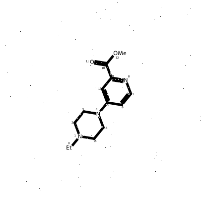 CCN1CCN(c2ccnc(C(=O)OC)c2)CC1